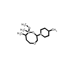 CO[Si]1(C)OC(N2CCC(C)CC2)COCCC1C